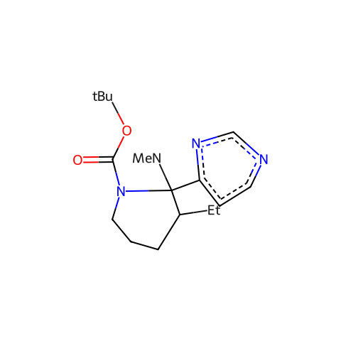 CCC1CCCN(C(=O)OC(C)(C)C)C1(NC)c1ccncn1